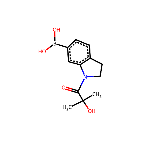 CC(C)(O)C(=O)N1CCc2ccc(B(O)O)cc21